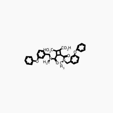 CN(Cc1cccc(Oc2ccccc2)c1)C(=O)C1C(C(=O)O)C(C(=O)O)C1C(=O)N(C)Cc1cccc(Oc2ccccc2)c1